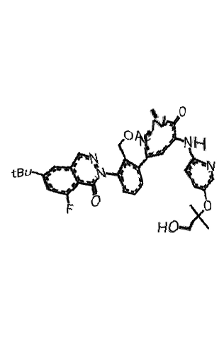 CC(=O)OCc1c(-c2cc(Nc3ccc(OC(C)(C)CO)cn3)c(=O)n(C)n2)cccc1-n1ncc2cc(C(C)(C)C)cc(F)c2c1=O